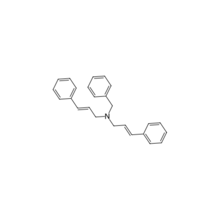 C(=Cc1ccccc1)CN(CC=Cc1ccccc1)Cc1ccccc1